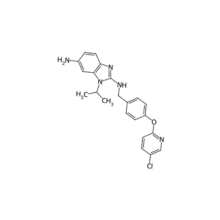 CC(C)n1c(NCc2ccc(Oc3ccc(Cl)cn3)cc2)nc2ccc(N)cc21